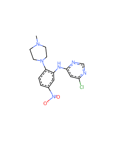 CN1CCN(c2ccc([N+](=O)[O-])cc2Nc2cc(Cl)ncn2)CC1